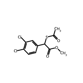 COC(=O)C(SC(C)=O)c1ccc(Cl)c(Cl)c1